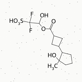 CC1(O)CCCC1C1CC(C(=O)OC(O)C(F)(F)S(=O)(=O)O)C1